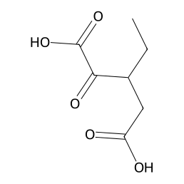 CCC(CC(=O)O)C(=O)C(=O)O